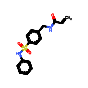 C=CC(=O)NCc1ccc(S(=O)(=O)Nc2ccccc2)cc1